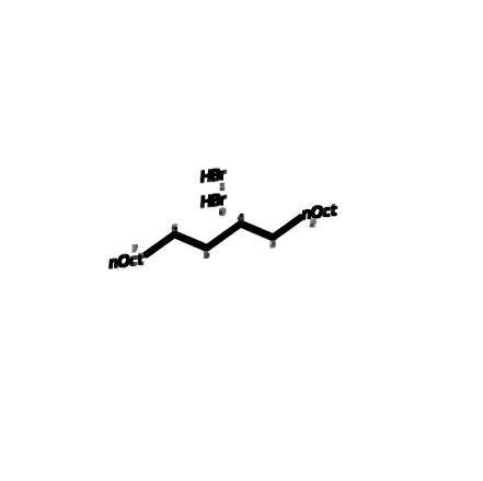 Br.Br.CCCCCCCCCCCCCCCCCCCC